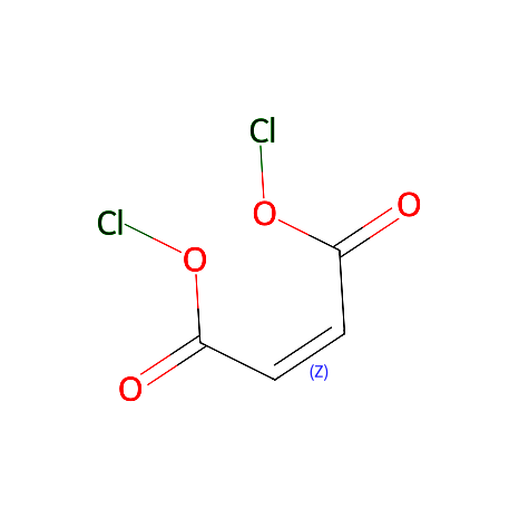 O=C(/C=C\C(=O)OCl)OCl